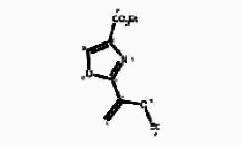 C=C(OCC)c1nc(C(=O)OCC)co1